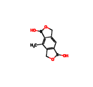 Cc1c2c(cc3c1B(O)OC3)B(O)OC2